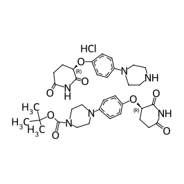 CC(C)(C)OC(=O)N1CCN(c2ccc(O[C@@H]3CCC(=O)NC3=O)cc2)CC1.Cl.O=C1CC[C@@H](Oc2ccc(N3CCNCC3)cc2)C(=O)N1